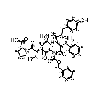 NC(=O)C[C@@H](C(=O)N[C@@H](CS)C(=O)N1CCC[C@H]1C(=O)O)N(C(=O)OCc1ccccc1)C(=O)[C@H](Cc1ccccc1)NC(=O)[C@@H](N)Cc1ccc(O)cc1